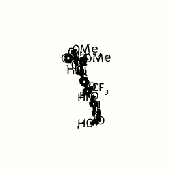 COC(=O)NC(C(=O)N1CC(OC)CC1c1nc(-c2ccc(-c3cc(F)c(NC(=O)c4ccc(N5CCN(C(=O)C(C)(C)CO)CC5)nc4)cc3OC(F)(F)F)cc2)c[nH]1)C1CCOCC1